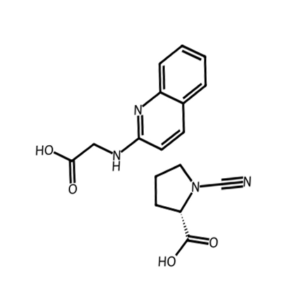 N#CN1CCC[C@H]1C(=O)O.O=C(O)CNc1ccc2ccccc2n1